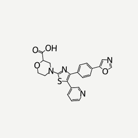 O=C(O)C1CN(c2nc(-c3ccc(-c4cnco4)cc3)c(-c3cccnc3)s2)CCO1